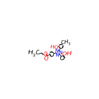 CCCCOC(=O)c1ccc(-c2nc(-c3ccccc3O)nc(-c3ccc(C)cc3O)n2)cc1